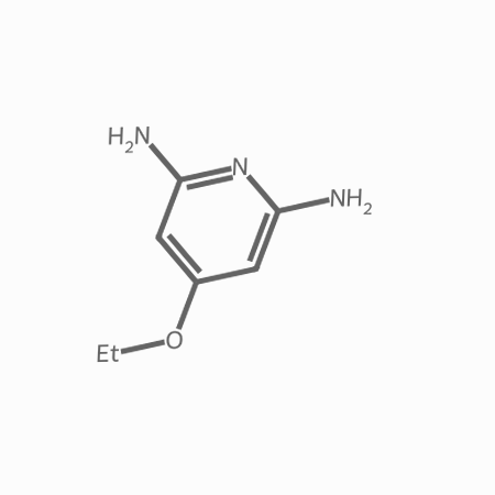 CCOc1cc(N)nc(N)c1